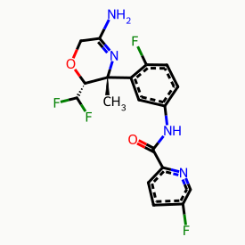 C[C@]1(c2cc(NC(=O)c3ccc(F)cn3)ccc2F)N=C(N)CO[C@H]1C(F)F